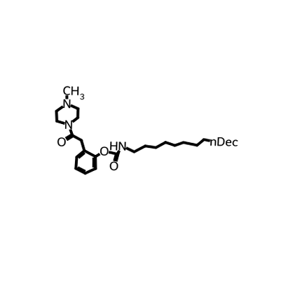 CCCCCCCCCCCCCCCCCCNC(=O)Oc1ccccc1CC(=O)N1CCN(C)CC1